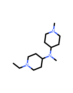 CCN1CCC(N(C)C2CCN(C)CC2)CC1